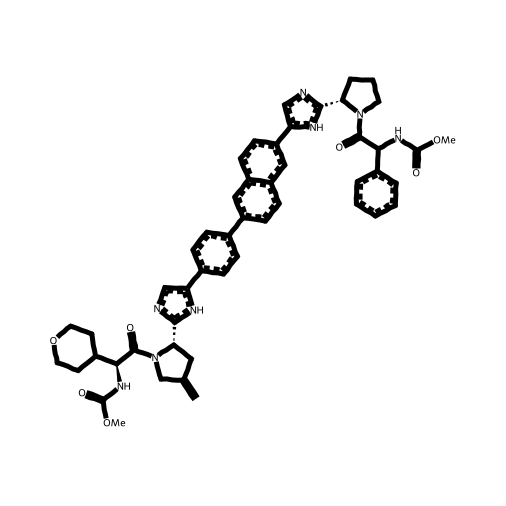 C=C1C[C@@H](c2ncc(-c3ccc(-c4ccc5cc(-c6cnc([C@@H]7CCCN7C(=O)C(NC(=O)OC)c7ccccc7)[nH]6)ccc5c4)cc3)[nH]2)N(C(=O)[C@@H](NC(=O)OC)C2CCOCC2)C1